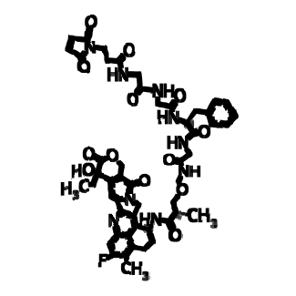 CC[C@@]1(O)C(=O)OCc2c1cc1n(c2=O)Cc2c-1nc1cc(F)c(C)c3c1c2[C@@H](NC(=O)[C@@H](C)COCNC(=O)CNC(=O)[C@H](Cc1ccccc1)NC(=O)CNC(=O)CNC(=O)CCN1C(=O)C=CC1=O)CC3